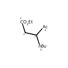 CCCCC(CC(=O)OCC)C(C)=O